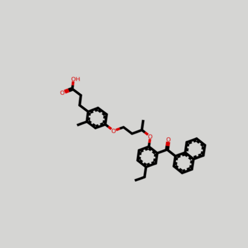 CCc1ccc(OC(C)CCOc2ccc(CCC(=O)O)c(C)c2)c(C(=O)c2cccc3ccccc23)c1